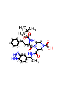 CC(NC(=O)C1CN(C(=O)O)CCN1C(=O)C(CCc1ccccc1)NC(=O)OC(C)(C)C)c1ccc2[nH]nnc2c1